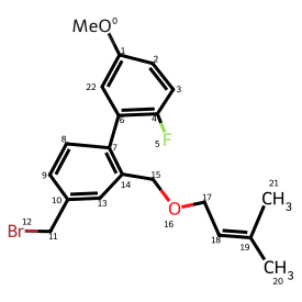 COc1ccc(F)c(-c2ccc(CBr)cc2COCC=C(C)C)c1